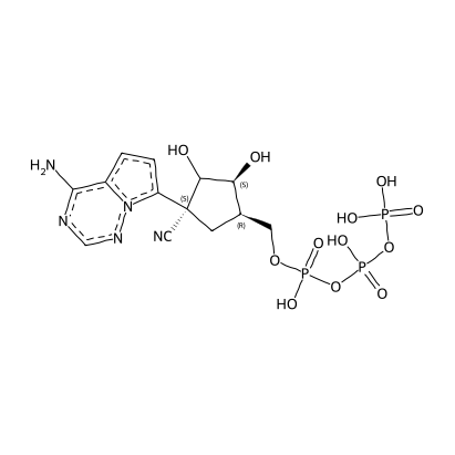 N#C[C@@]1(c2ccc3c(N)ncnn23)C[C@H](COP(=O)(O)OP(=O)(O)OP(=O)(O)O)[C@H](O)C1O